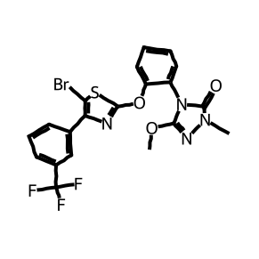 COc1nn(C)c(=O)n1-c1ccccc1Oc1nc(-c2cccc(C(F)(F)F)c2)c(Br)s1